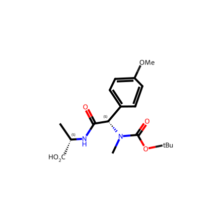 COc1ccc([C@@H](C(=O)N[C@@H](C)C(=O)O)N(C)C(=O)OC(C)(C)C)cc1